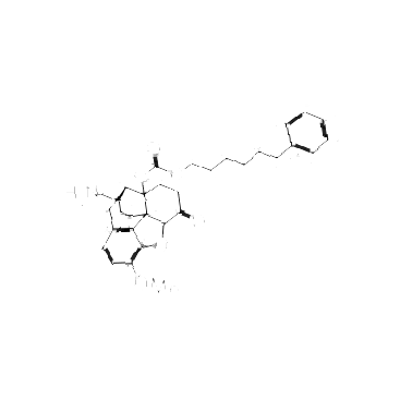 COc1ccc2c3c1OC1C(=O)CCC4(OC(=O)OCCCCCCc5ccccc5)C(C2)C(N)CCC314